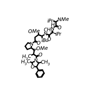 CCC(C)C(C(CC(=O)N1CCCC1[C@H](OC)C(C)C(=O)N1C(C)OC(c2ccccc2)C1C)OC)N(C)C(=O)[C@@H](NC(=O)C(NC)C(C)C)C(C)C